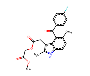 CCCCOC(=O)COC(=O)Cc1c(C)[nH]c2ccc(OC)c(C(=O)c3ccc(F)cc3)c12